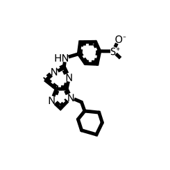 C[S+]([O-])c1ccc(Nc2ncc3ncn(CC4CCCCC4)c3n2)cc1